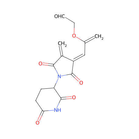 C=C(/C=C1\C(=C)C(=O)N(C2CCC(=O)NC2=O)C1=O)OCC=O